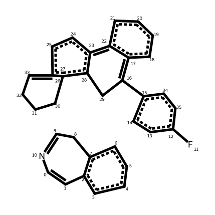 C1=Cc2ccccc2CC=N1.Fc1ccc(C2=c3ccccc3=c3ccc4c(c3C2)CCCC=4)cc1